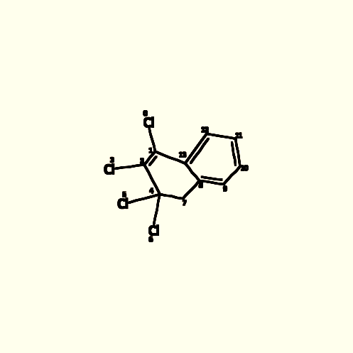 ClC1=C(Cl)C(Cl)(Cl)Cc2ccccc21